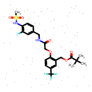 CC(C)(C)C(=O)OCc1cc(C(F)(F)F)ccc1OCC(=O)NCc1ccc(NS(C)(=O)=O)c(F)c1